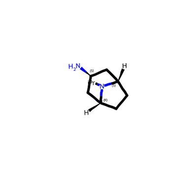 CC(C)N1[C@@H]2CC[C@H]1C[C@H](N)C2